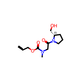 C=CCOC(=O)N(C)CC(=O)N1CCC[C@H]1CO